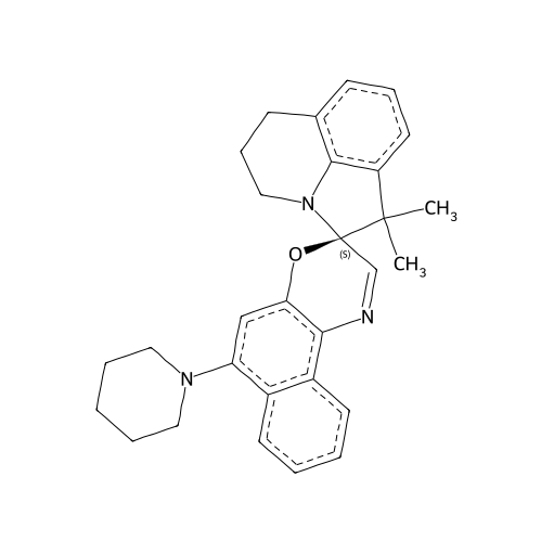 CC1(C)c2cccc3c2N(CCC3)[C@@]12C=Nc1c(cc(N3CCCCC3)c3ccccc13)O2